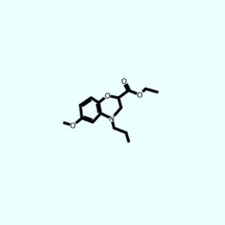 CCCN1CC(C(=O)OCC)Oc2ccc(OC)cc21